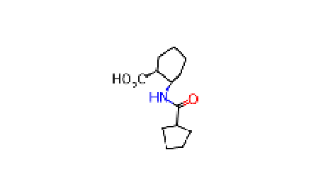 O=C(N[C@@H]1CCCC[C@@H]1C(=O)O)C1CCCC1